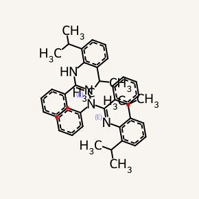 CC(C)c1cccc(C(C)C)c1/N=C(\c1ccccc1)N(/N=C(/Nc1c(C(C)C)cccc1C(C)C)c1ccccc1)c1ccccc1